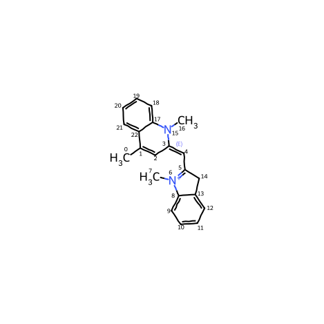 CC1=C/C(=C\C2=[N+](C)c3ccccc3C2)N(C)c2ccccc21